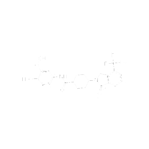 COc1cc(NC(=O)C2CCC(N3Cc4c(cccc4C(F)(F)F)C3=O)CC2)ccc1C